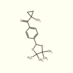 CC1(C(=O)c2ccc(B3OC(C)(C)C(C)(C)O3)cc2)CC1